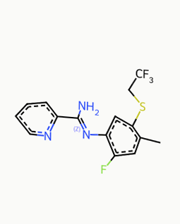 Cc1cc(F)c(/N=C(\N)c2ccccn2)cc1SCC(F)(F)F